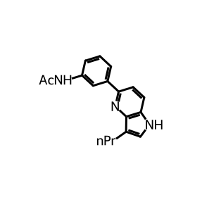 CCCc1c[nH]c2ccc(-c3cccc(NC(C)=O)c3)nc12